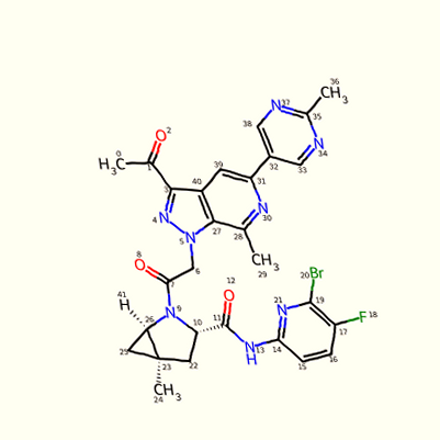 CC(=O)c1nn(CC(=O)N2[C@H](C(=O)Nc3ccc(F)c(Br)n3)C[C@@]3(C)C[C@@H]23)c2c(C)nc(-c3cnc(C)nc3)cc12